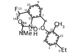 CCc1ccc(OCc2cccc(C(F)F)c2N(O)C(=O)NC)c(C)c1